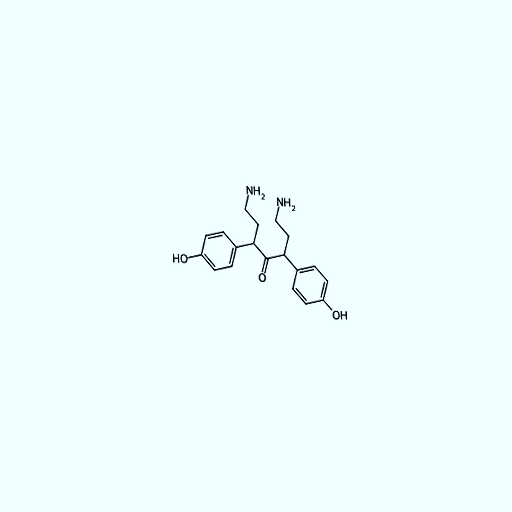 NCCC(C(=O)C(CCN)c1ccc(O)cc1)c1ccc(O)cc1